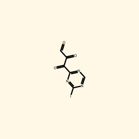 O=CC(=O)C(=O)c1ncnc(I)n1